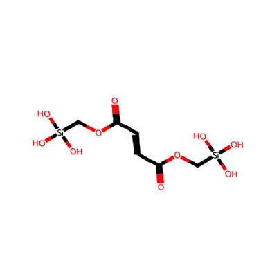 O=C(/C=C/C(=O)OC[Si](O)(O)O)OC[Si](O)(O)O